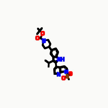 CC(C)c1c(-c2ccnc3c2ccn3S(C)(=O)=O)[nH]c2ccc(C3CCN(C(=O)OC(C)(C)C)CC3)cc12